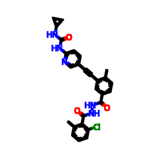 Cc1ccc(C(=O)NNC(=O)c2c(C)cccc2Cl)cc1C#Cc1ccc(NC(=O)NC2CC2)nc1